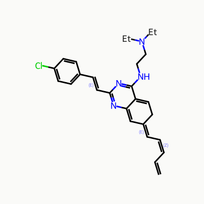 C=C/C=C\C=C1\C=c2nc(/C=C/c3ccc(Cl)cc3)nc(NCCN(CC)CC)c2=CC1